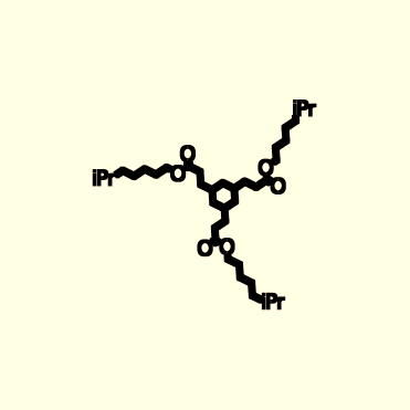 CC(C)CCCCCOC(=O)CCC1CC(CCC(=O)OCCCCCC(C)C)CC(CCC(=O)OCCCCCC(C)C)C1